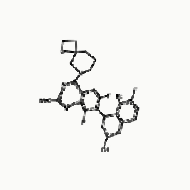 CCc1c(F)ccc2cc(O)cc(-c3c(F)cc4c(N5CCCC6(CCO6)C5)nc(OC)nc4c3F)c12